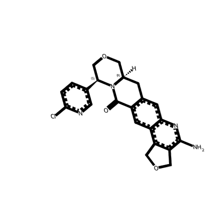 Nc1nc2cc3c(cc2c2c1COC2)C(=O)N1[C@@H](COC[C@@H]1c1ccc(Cl)nc1)C3